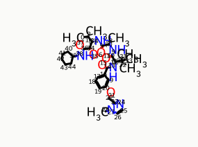 CC(C)[C@H](NC(=O)[C@H](C)NC(=O)[C@@H](NC(=O)c1cccc(OCc2nccn2C)c1)C(C)(C)C)C(=O)C(=O)NC1CCCCC1